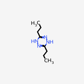 CCCC1=NNC(CCC)=NN1